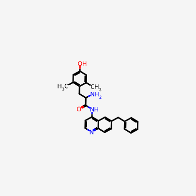 Cc1cc(O)cc(C)c1CC(N)C(=O)Nc1ccnc2ccc(Cc3ccccc3)cc12